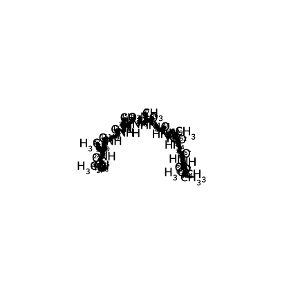 Cn1cc(NC(=O)c2nc(NC(=O)CCNC(=O)c3cc(NC(=O)c4nccn4C)cn3C)cn2C)cc1C(=O)NCCC(=O)Nc1cn(C)c(C(=O)NCCC(=O)NNC(=O)OC(C)(C)C)n1